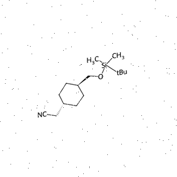 CC(C)(C)[Si](C)(C)OC[C@H]1CC[C@H](CC#N)CC1